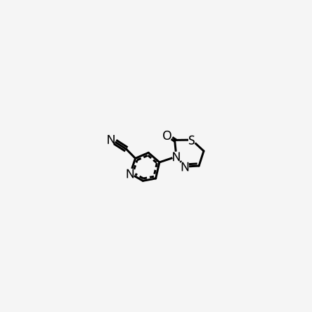 N#Cc1cc(N2N=CCSC2=O)ccn1